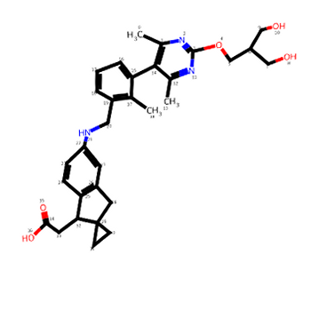 Cc1nc(OCC(CO)CO)nc(C)c1-c1cccc(CNc2ccc3c(c2)CC2(CC2)C3CC(=O)O)c1C